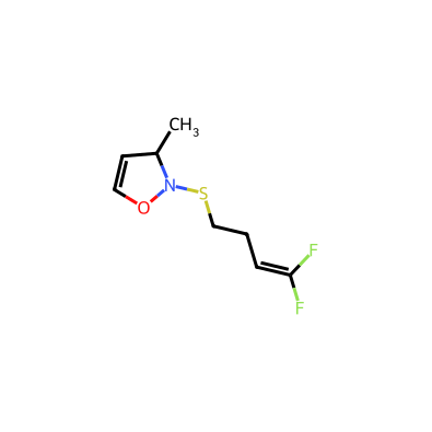 CC1C=CON1SCCC=C(F)F